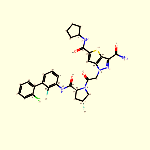 NC(=O)c1nn(CC(=O)N2C[C@H](F)C[C@H]2C(=O)Nc2cccc(-c3ccccc3Cl)c2F)c2cc(C(=O)NC3CCCC3)sc12